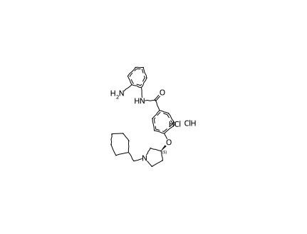 Cl.Cl.Nc1ccccc1NC(=O)c1ccc(O[C@H]2CCN(CC3CCCCC3)C2)cc1